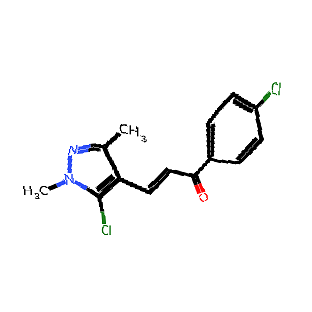 Cc1nn(C)c(Cl)c1C=CC(=O)c1ccc(Cl)cc1